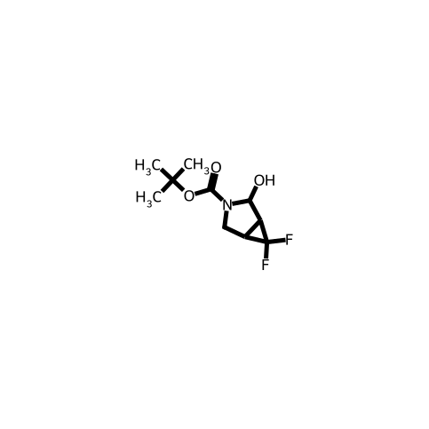 CC(C)(C)OC(=O)N1CC2C(C1O)C2(F)F